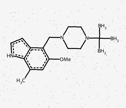 BC(B)(B)N1CCN(Cc2c(OC)cc(C)c3[nH]ccc23)CC1